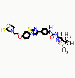 CC(C)(C)c1cc(NC(=O)Nc2ccc(-c3cn4c(n3)sc3cc(OCCN5CCOC(S)C5)ccc34)cc2)no1